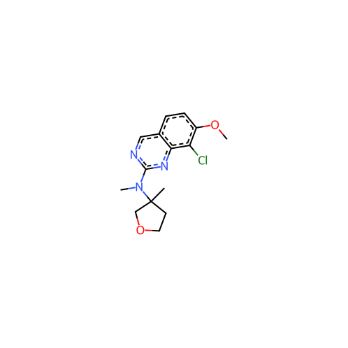 COc1ccc2cnc(N(C)C3(C)CCOC3)nc2c1Cl